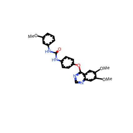 COc1cccc(NC(=O)Nc2ccc(Oc3ncnc4cc(OC)c(OC)cc34)cc2)c1